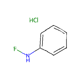 Cl.FNc1ccccc1